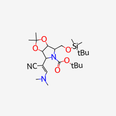 CN(C)/C=C(\C#N)C1C2OC(C)(C)OC2C(CO[Si](C)(C)C(C)(C)C)N1C(=O)OC(C)(C)C